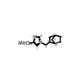 COc1cn(CC2CC3CCC2C3)cn1